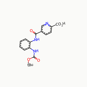 CC(C)(C)OC(=O)Nc1ccccc1NC(=O)c1ccc(C(=O)O)nc1